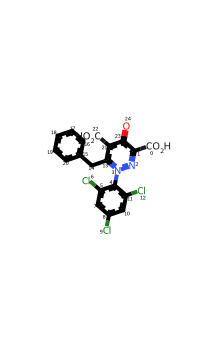 O=C(O)c1nn(-c2c(Cl)cc(Cl)cc2Cl)c(Cc2ccccc2)c(C(=O)O)c1=O